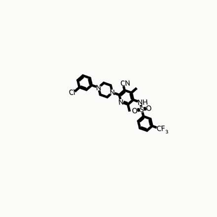 Cc1nc(N2CCN(c3cccc(Cl)c3)CC2)c(C#N)c(C)c1NS(=O)(=O)c1cccc(C(F)(F)F)c1